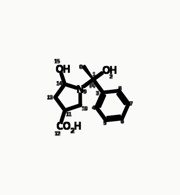 C[C@@](O)(c1ccccc1)N1CC(C(=O)O)CC1O